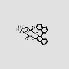 CCOC(=O)COc1cc2ccccc2c(-c2cccc3ccccc23)c1OCC(=O)OCC